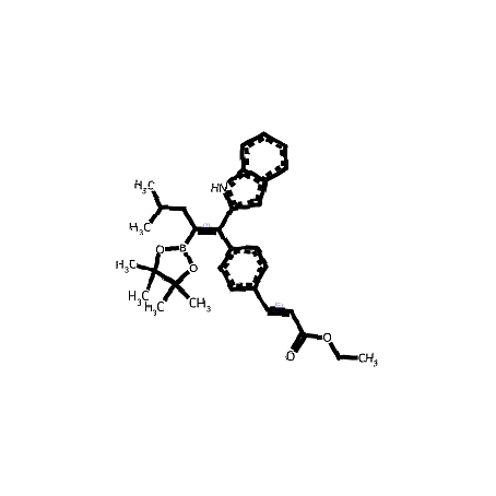 CCOC(=O)/C=C/c1ccc(/C(=C(/CC(C)C)B2OC(C)(C)C(C)(C)O2)c2cc3ccccc3[nH]2)cc1